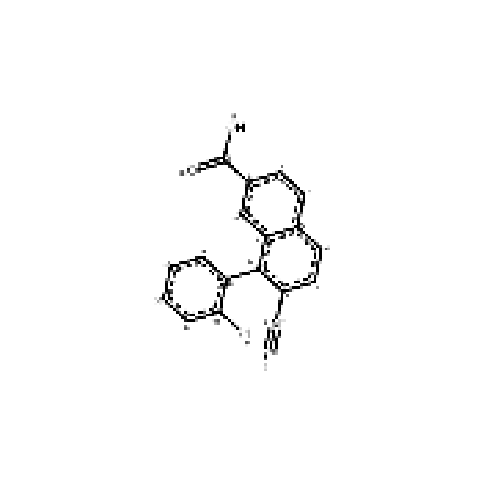 [C-]#[N+]c1ccc2ccc(C(=O)O)cc2c1-c1ccccc1Cl